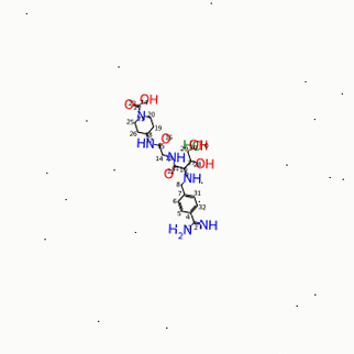 Cl.N=C(N)c1ccc(CNC(C(=O)NCC(=O)NC2CCN(C(=O)O)CC2)C(O)CO)cc1